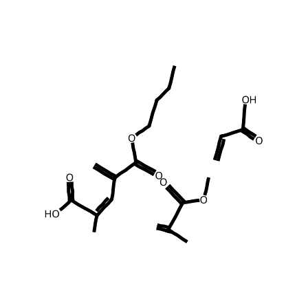 C=C(C)C(=O)OC.C=C(C=C(C)C(=O)O)C(=O)OCCCC.C=CC(=O)O